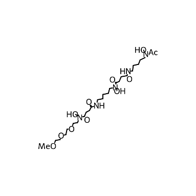 COCCOCCOCCN(O)C(=O)CCC(=O)NCCCCCN(O)C(=O)CCC(=O)NCCCCCN(O)C(C)=O